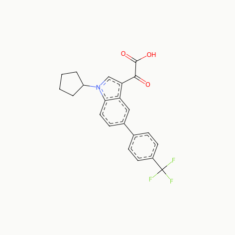 O=C(O)C(=O)c1cn(C2CCCC2)c2ccc(-c3ccc(C(F)(F)F)cc3)cc12